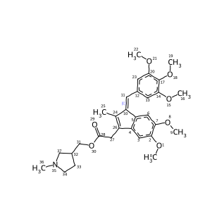 COc1cc2c(cc1OC)/C(=C\c1cc(OC)c(OC)c(OC)c1)C(C)=C2CC(=O)OCC1CCN(C)C1